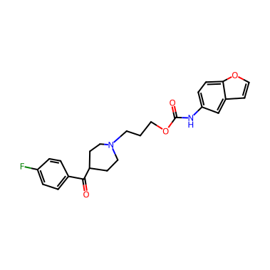 O=C(Nc1ccc2occc2c1)OCCCN1CCC(C(=O)c2ccc(F)cc2)CC1